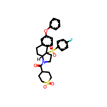 O=C(C1CCS(=O)(=O)CC1)N1CC[C@@]2(S(=O)(=O)c3ccc(F)cc3)c3ccc(Oc4ccccc4)cc3CC[C@@H]12